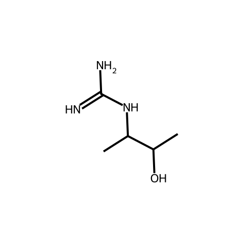 CC(O)C(C)NC(=N)N